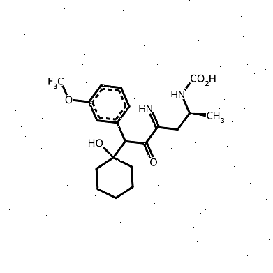 C[C@@H](CC(=N)C(=O)C(c1cccc(OC(F)(F)F)c1)C1(O)CCCCC1)NC(=O)O